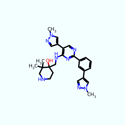 Cn1cc(-c2cccc(-c3ncc(-c4cnn(C)c4)c(NCC4(O)CCNCC4(C)C)n3)c2)cn1